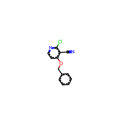 N#Cc1c(OCc2ccccc2)ccnc1Cl